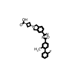 Cc1cc(-c2nc(-c3ccc4c(c3)CN([C@H]3C[C@H](C(=O)O)C3)C4)no2)ccc1-c1ccccc1F